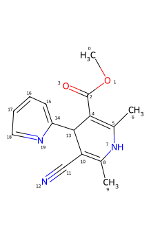 COC(=O)C1=C(C)NC(C)=C(C#N)C1c1ccccn1